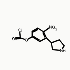 O=C(Cl)Oc1ccc([N+](=O)[O-])c(C2CCNC2)c1